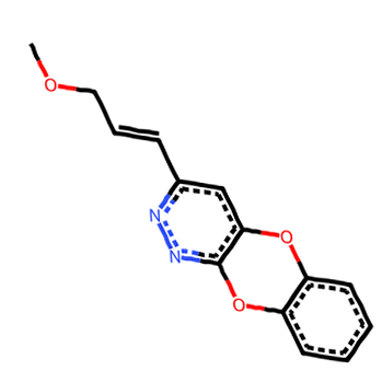 COC/C=C/c1cc2c(nn1)Oc1ccccc1O2